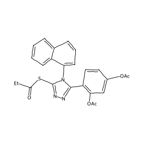 CCC(=O)Sc1nnc(-c2ccc(OC(C)=O)cc2OC(C)=O)n1-c1cccc2ccccc12